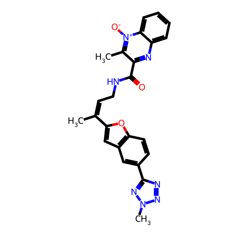 C/C(=C/CNC(=O)c1nc2ccccc2[n+]([O-])c1C)c1cc2cc(-c3nnn(C)n3)ccc2o1